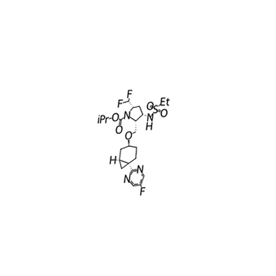 CCS(=O)(=O)N[C@H]1C[C@@H](C(F)F)N(C(=O)OC(C)C)[C@H]1CO[C@H]1CC[C@@]2(c3ncc(F)cn3)C[C@H]2C1